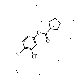 O=C(Oc1ccc(Cl)c(Cl)c1)C1CCCC1